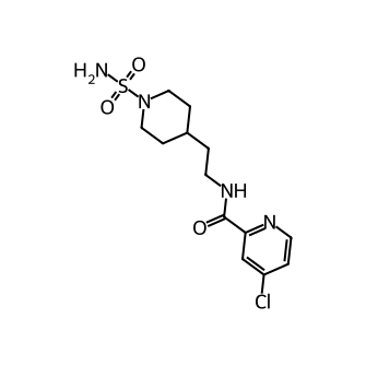 NS(=O)(=O)N1CCC(CCNC(=O)c2cc(Cl)ccn2)CC1